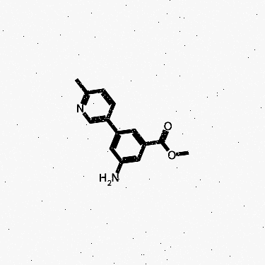 COC(=O)c1cc(N)cc(-c2ccc(C)nc2)c1